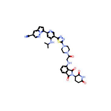 CC(C)Nc1cc(-c2ccc3cc(C#N)cnn23)ncc1-c1nnc(N2CCN(C(=O)CNc3cccc4c3C(=O)N(C3CCC(=O)NC3=O)C4=O)CC2)s1